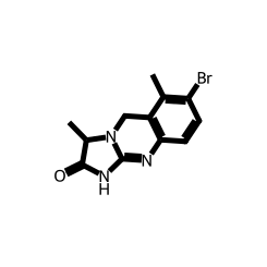 Cc1c(Br)ccc2c1CN1C(=N2)NC(=O)C1C